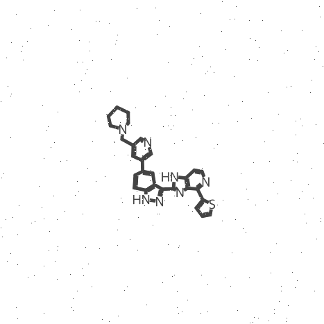 c1csc(-c2nccc3[nH]c(-c4n[nH]c5ccc(-c6cncc(CN7CCCCC7)c6)cc45)nc23)c1